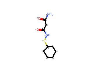 NC(=O)CC(=O)NSC1CCCCC1